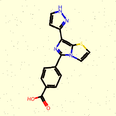 O=C(O)c1ccc(-c2nc(-c3cc[nH]n3)c3sccn23)cc1